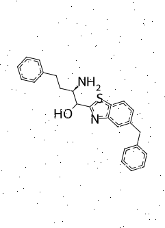 N[C@H](CCc1ccccc1)C(O)c1nc2cc(Cc3ccccc3)ccc2s1